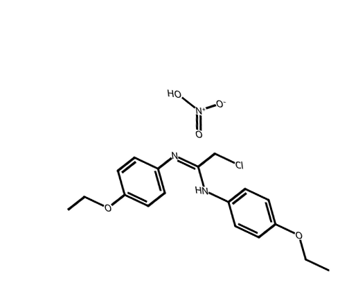 CCOc1ccc(N=C(CCl)Nc2ccc(OCC)cc2)cc1.O=[N+]([O-])O